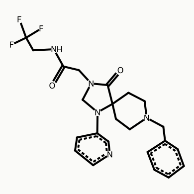 O=C(CN1CN(c2cccnc2)C2(CCN(Cc3ccccc3)CC2)C1=O)NCC(F)(F)F